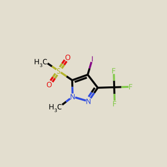 Cn1nc(C(F)(F)F)c(I)c1S(C)(=O)=O